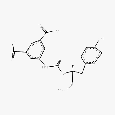 COC[C@@](C=O)(Cc1ccc(O)cc1)NC(=O)Nc1cc(C(=O)OC)cc(C(=O)OC)c1